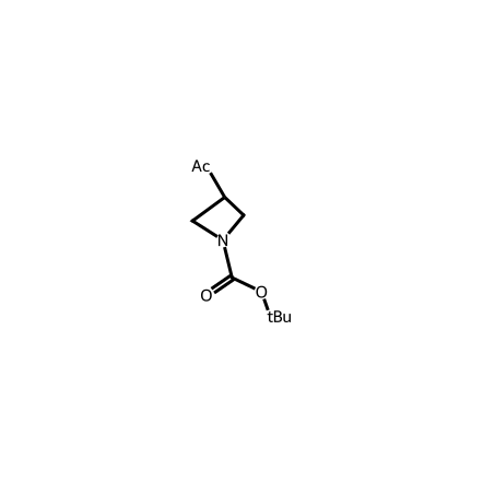 CC(=O)C1CN(C(=O)OC(C)(C)C)C1